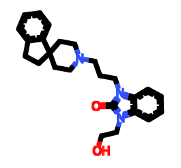 O=c1n(CCO)c2ccccc2n1CCCN1CCC2(CCc3ccccc32)CC1